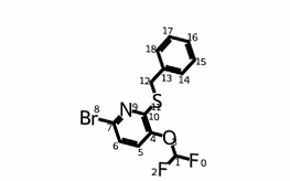 FC(F)Oc1ccc(Br)nc1SCc1ccccc1